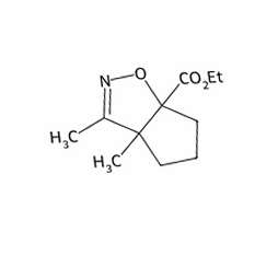 CCOC(=O)C12CCCC1(C)C(C)=NO2